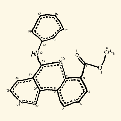 COC(=O)c1cccc2c1nc(Nc1ccccc1)c1ccncc12